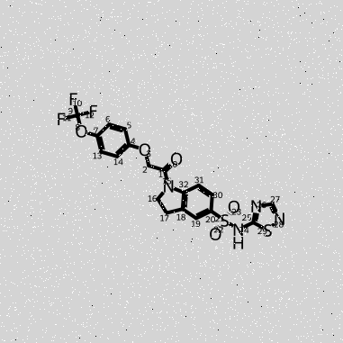 O=C(COc1ccc(OC(F)(F)F)cc1)N1CCc2cc(S(=O)(=O)Nc3ncns3)ccc21